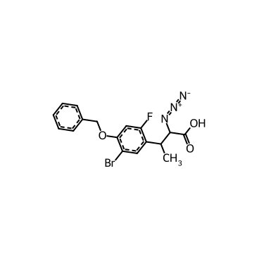 CC(c1cc(Br)c(OCc2ccccc2)cc1F)C(N=[N+]=[N-])C(=O)O